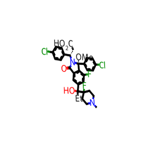 CCC(O)(c1cc(F)c2c(c1)C(=O)N([C@@H](CC(=O)O)c1ccc(Cl)cc1)[C@@]2(OC)c1ccc(Cl)cc1)C1(F)CCN(C)CC1